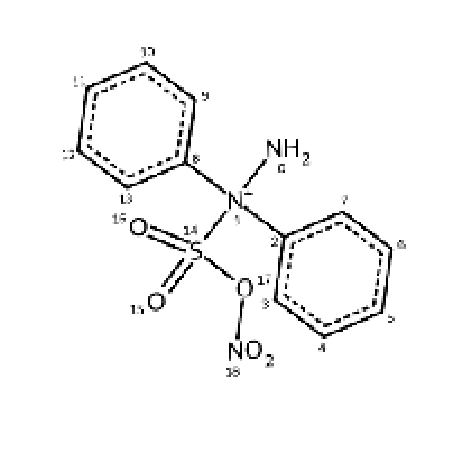 N[N+](c1ccccc1)(c1ccccc1)S(=O)(=O)O[N+](=O)[O-]